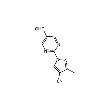 Cc1nn(-c2ncc(C=O)cn2)cc1C#N